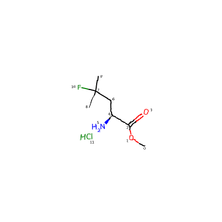 COC(=O)[C@@H](N)CC(C)(C)F.Cl